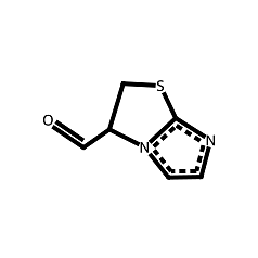 O=CC1CSc2nccn21